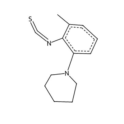 Cc1cccc(N2CCCCC2)c1N=C=S